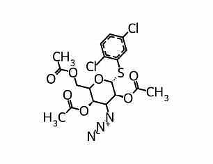 CC(=O)OCC1O[C@H](Sc2cc(Cl)ccc2Cl)[C@@H](OC(C)=O)C(N=[N+]=[N-])[C@H]1OC(C)=O